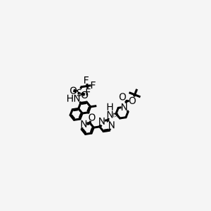 Cc1cc(NS(=O)(=O)CC(F)(F)F)c2ccccc2c1Oc1ncccc1-c1ccnc(N[C@H]2CCCN(C(=O)OC(C)(C)C)C2)n1